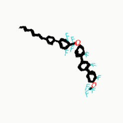 CCCCCCCc1ccc(-c2cc(F)c(C(F)(F)Oc3ccc(-c4ccc(-c5ccc(OC(F)(F)F)c(F)c5)c(F)c4)c(F)c3)c(F)c2)cc1